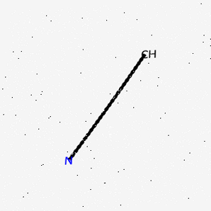 C#CC#CC#CC#CC#CC#CC#CC#CC#CC#CC#CC#CC#CC#CC#CC#CC#CC#CC#CC#CC#CC#CC#CC#CC#CC#N